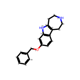 c1ccc(COc2ccc3c4c([nH]c3c2)CCNCC4)cc1